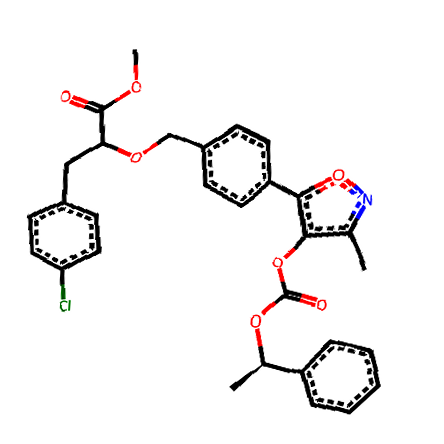 COC(=O)C(Cc1ccc(Cl)cc1)OCc1ccc(-c2onc(C)c2OC(=O)O[C@H](C)c2ccccc2)cc1